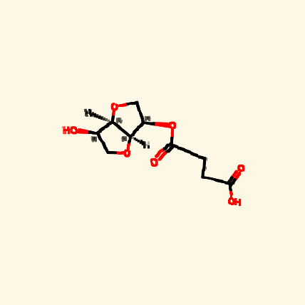 O=C(O)CCC(=O)O[C@@H]1CO[C@H]2[C@@H]1OC[C@H]2O